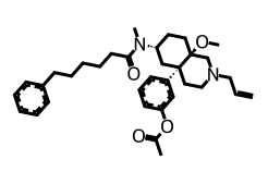 C=CCN1CC[C@@]2(c3cccc(OC(C)=O)c3)C[C@H](N(C)C(=O)CCCCCc3ccccc3)CC[C@]2(OC)C1